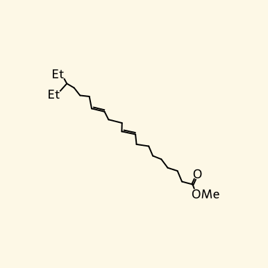 CCC(CC)CCCC=CCCC=CCCCCCCCC(=O)OC